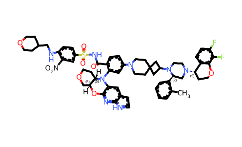 Cc1ccccc1[C@@H]1CN([C@H]2CCOc3c2ccc(F)c3F)CCN1C1CC2(CCN(c3ccc(C(=O)NS(=O)(=O)c4ccc(NCC5CCOCC5)c([N+](=O)[O-])c4)c(N4c5cc6cc[nH]c6nc5O[C@H]5COCC[C@@H]54)c3)CC2)C1